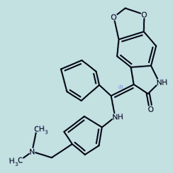 CN(C)Cc1ccc(N/C(=C2\C(=O)Nc3cc4c(cc32)OCO4)c2ccccc2)cc1